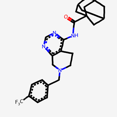 O=C(Nc1ncnc2c1CCN(Cc1ccc(C(F)(F)F)cc1)C2)C12CC3CC(CC(C3)C1)C2